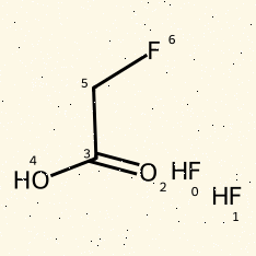 F.F.O=C(O)CF